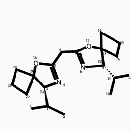 CC(C)[C@@H]1N=C(CC2=N[C@@H](C(C)C)C3(CCC3)O2)OC12CCC2